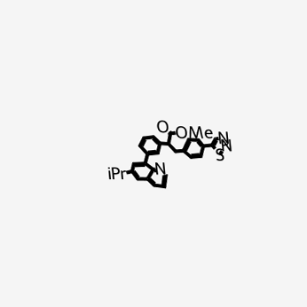 COC(=O)C(Cc1ccc(-c2cnns2)cc1)c1cccc(-c2cc(C(C)C)cc3cccnc23)c1